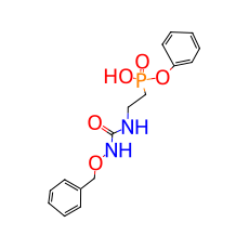 O=C(NCCP(=O)(O)Oc1ccccc1)NOCc1ccccc1